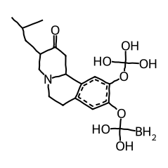 BC(O)(O)Oc1cc2c(cc1OC(O)(O)O)C1CC(=O)C(CC(C)C)CN1CC2